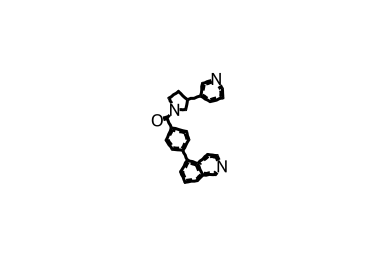 O=C(c1ccc(-c2cccc3cnccc23)cc1)N1CCC(c2cccnc2)C1